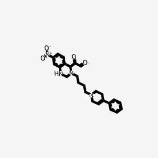 O=CC(=O)C1c2ccc([N+](=O)[O-])cc2NCN1CCCCN1CC=C(c2ccccc2)CC1